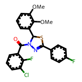 COc1cccc(C2SC(c3ccc(F)cc3)=NN2C(=O)c2cccc(Cl)c2F)c1OC